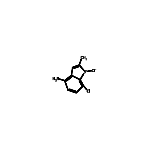 Cc1cc2c(N)ccc(Cl)c2[s+]1[O-]